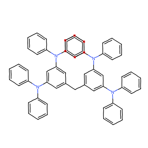 c1ccc(N(c2ccccc2)c2cc(Cc3cc(N(c4ccccc4)c4ccccc4)cc(N(c4ccccc4)c4ccccc4)c3)cc(N(c3ccccc3)c3ccccc3)c2)cc1